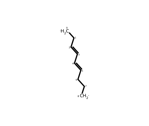 [CH2]CC=CC=CCC[CH2]